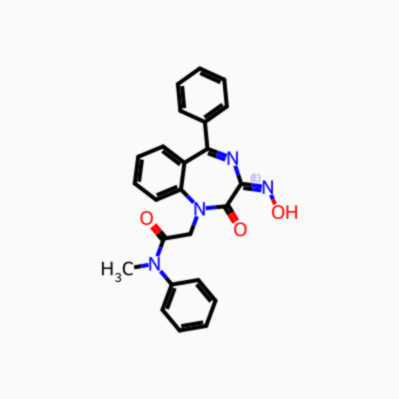 CN(C(=O)Cn1c(=O)/c(=N\O)nc(-c2ccccc2)c2ccccc21)c1ccccc1